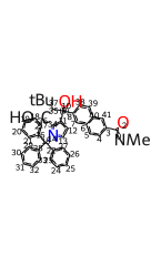 CNC(=O)c1ccc2cc([C@](O)(c3ccn(C(c4ccccc4)(c4ccccc4)c4ccccc4)c3)C(C(=O)O)C(C)(C)C)ccc2c1